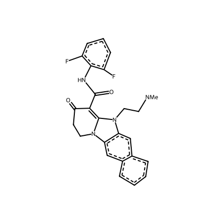 CNCCN1C2=C(C(=O)Nc3c(F)cccc3F)C(=O)CCN2c2cc3ccccc3cc21